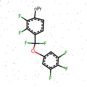 CCCc1ccc(C(F)(F)Oc2cc(F)c(F)c(F)c2)c(F)c1F